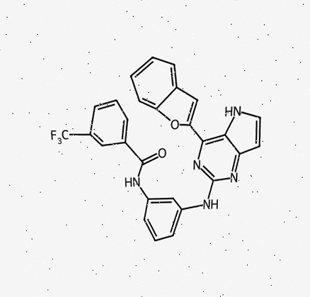 O=C(Nc1cccc(Nc2nc(-c3cc4ccccc4o3)c3[nH]ccc3n2)c1)c1cccc(C(F)(F)F)c1